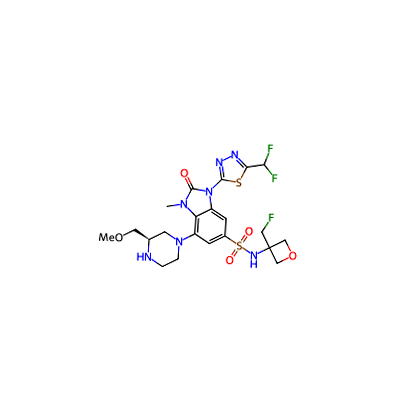 COC[C@H]1CN(c2cc(S(=O)(=O)NC3(CF)COC3)cc3c2n(C)c(=O)n3-c2nnc(C(F)F)s2)CCN1